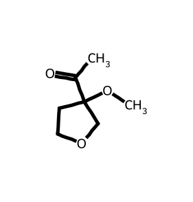 COC1(C(C)=O)CCOC1